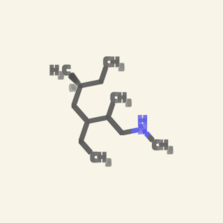 CCC(C[C@@H](C)CC)C(C)CNC